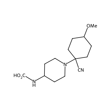 COC1CCC(C#N)(N2CCC(NC(=O)O)CC2)CC1